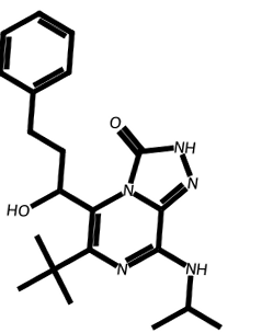 CC(C)Nc1nc(C(C)(C)C)c(C(O)CCc2ccccc2)n2c(=O)[nH]nc12